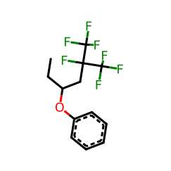 CCC(CC(F)(C(F)(F)F)C(F)(F)F)Oc1ccccc1